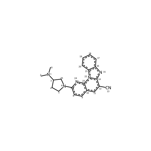 CN(C)C1CCN(c2ccc3cc(C#N)c4nc5ccccc5n4c3n2)C1